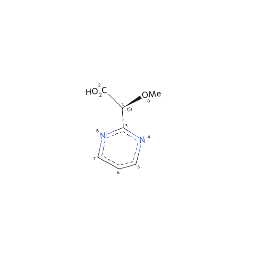 CO[C@H](C(=O)O)c1ncccn1